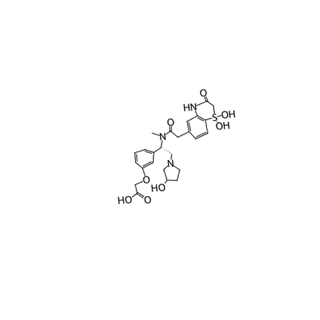 CN(C(=O)Cc1ccc2c(c1)NC(=O)CS2(O)O)[C@H](CN1CCC(O)C1)c1cccc(OCC(=O)O)c1